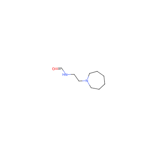 O=CNCCN1CCCCCC1